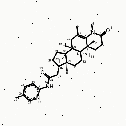 CC1=C2N(C)C(=O)CC[C@]2(C)[C@H]2CC[C@]3(C)[C@@H](CC(=O)Nc4ccc(C)cn4)CC[C@H]3[C@@H]2C1